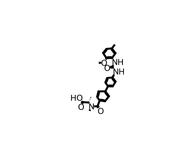 COc1ccc(C)cc1NC(=O)Nc1ccc(-c2ccc(C(=O)N(C)[C@@H](C)C(=O)O)cc2)cc1